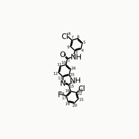 O=C(Nc1cccc(Cl)c1)c1ccc2nc(-c3c(F)cccc3Cl)[nH]c2c1